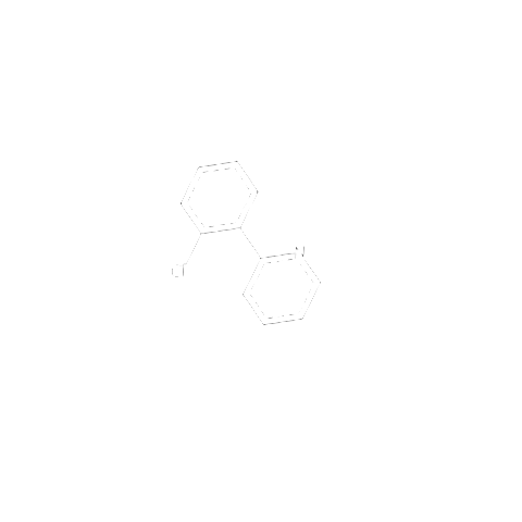 Clc1ccccc1-c1ccc[c]n1